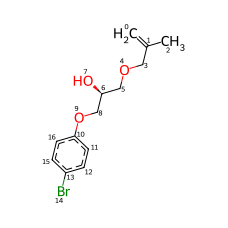 C=C(C)COC[C@H](O)COc1ccc(Br)cc1